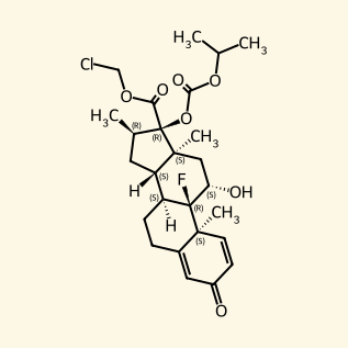 CC(C)OC(=O)O[C@]1(C(=O)OCCl)[C@H](C)C[C@H]2[C@@H]3CCC4=CC(=O)C=C[C@]4(C)[C@@]3(F)[C@@H](O)C[C@@]21C